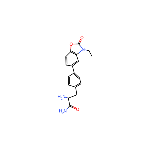 CCn1c(=O)oc2ccc(-c3ccc(C[C@H](N)C(N)=O)cc3)cc21